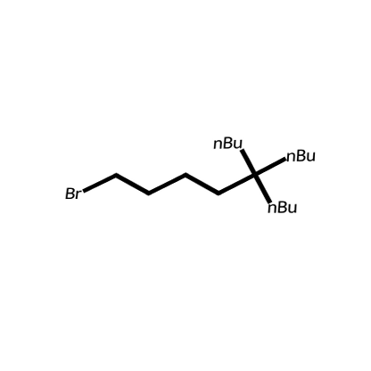 CCCCC(CCCC)(CCCC)CCCCBr